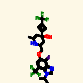 CC1CC(O)(C23CC(C(F)(F)F)(C2)C3)CC(COc2cc(C(F)(F)F)c3c(ncn3C(C)C)c2I)N1